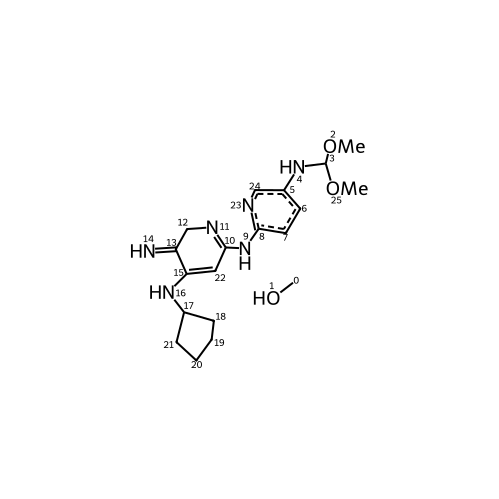 CO.COC(Nc1ccc(NC2=NCC(=N)C(NC3CCCC3)=C2)nc1)OC